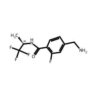 C[C@@H](NC(=O)c1ccc(CN)cc1F)C(F)(F)F